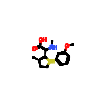 CNC(C(=O)O)[C@H]1[C@H](C)CC[SH]1c1cccc(OC)c1